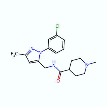 CN1CCC(C(=O)NCc2cc(C(F)(F)F)nn2-c2cccc(Cl)c2)CC1